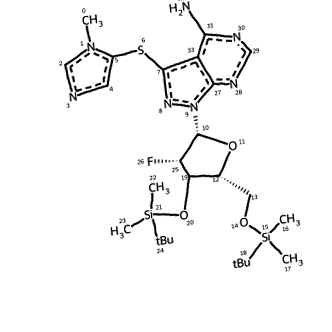 Cn1cncc1Sc1nn([C@@H]2O[C@H](CO[Si](C)(C)C(C)(C)C)C(O[Si](C)(C)C(C)(C)C)[C@@H]2F)c2ncnc(N)c12